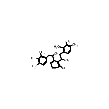 Cc1ccc(CC(C)c2cccc(O)c2C(C)Cc2ccc(C)c(C)c2C)c(C)c1C